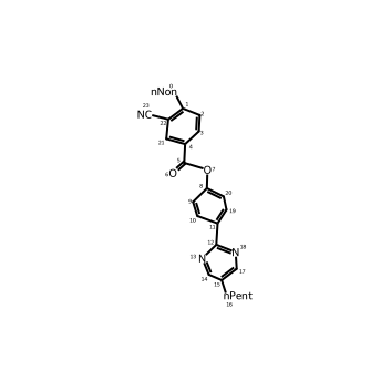 CCCCCCCCCc1ccc(C(=O)Oc2ccc(-c3ncc(CCCCC)cn3)cc2)cc1C#N